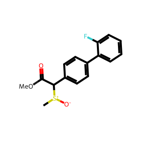 COC(=O)C(c1ccc(-c2ccccc2F)cc1)[S+](C)[O-]